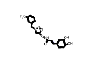 O=C(/C=C/c1ccc(O)c(O)c1)NCc1cn(Cc2cccc(C(F)(F)F)c2)nn1